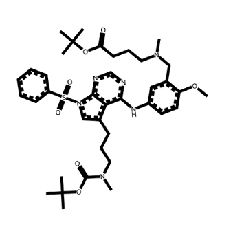 COc1ccc(Nc2ncnc3c2c(CCCN(C)C(=O)OC(C)(C)C)cn3S(=O)(=O)c2ccccc2)cc1CN(C)CCCC(=O)OC(C)(C)C